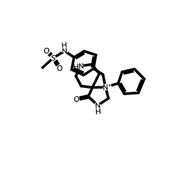 CS(=O)(=O)Nc1ccc(C[N+]2(c3ccccc3)CNC(=O)C23CCNCC3)cc1